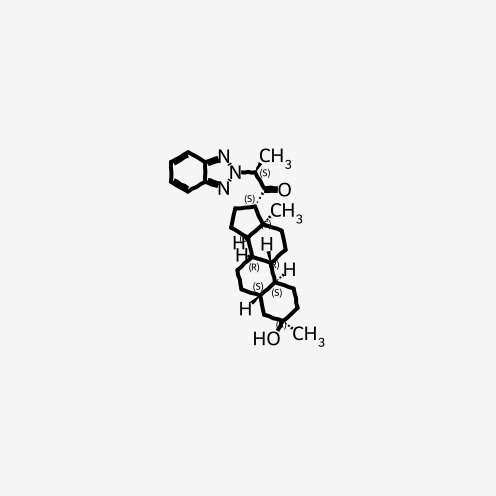 C[C@@H](C(=O)[C@H]1CC[C@H]2[C@@H]3CC[C@H]4C[C@](C)(O)CC[C@@H]4[C@H]3CC[C@]12C)n1nc2ccccc2n1